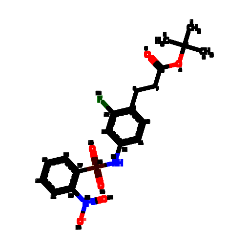 CC(C)(C)OC(=O)CCc1ccc(NS(=O)(=O)c2ccccc2[N+](=O)[O-])cc1F